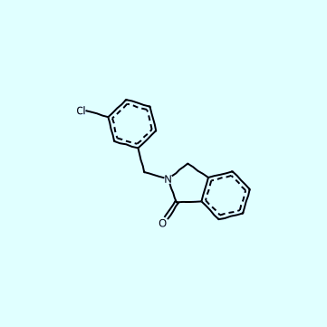 O=C1c2ccccc2CN1Cc1cccc(Cl)c1